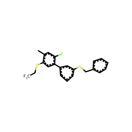 Cc1cc(F)c(-c2cccc(SCc3ccccc3)c2)cc1SCC(F)(F)F